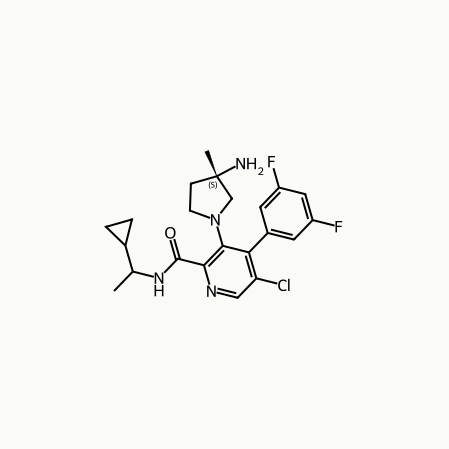 CC(NC(=O)c1ncc(Cl)c(-c2cc(F)cc(F)c2)c1N1CC[C@](C)(N)C1)C1CC1